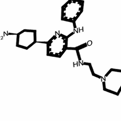 N[C@H]1CC[C@@H](c2ccc(C(=O)NCCN3CCCCC3)c(Nc3ccccc3)n2)CC1